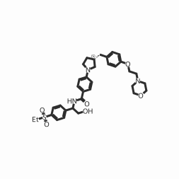 CCS(=O)(=O)c1ccc(C(CO)NC(=O)c2ccc(N3CC[C@H](Cc4ccc(OCCN5CCOCC5)cc4)C3)cc2)cc1